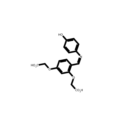 O=C(O)COc1ccc(/C=N\c2ccc(O)cc2)c(OCC(=O)O)c1